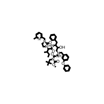 CCC(C)C(C(=O)NC(Cc1ccccc1)C(O)CN(Cc1cccc(Oc2ccccc2)c1)NC(=O)N(CC(C)(C)C)C(=O)OC)N1CCN(Cc2cccc(C)n2)C1=O